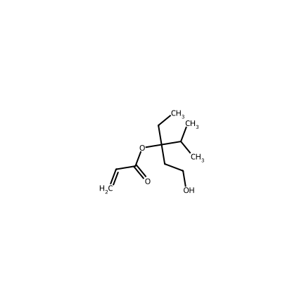 C=CC(=O)OC(CC)(CCO)C(C)C